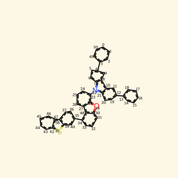 c1ccc(-c2ccc3c(c2)c2cc(-c4ccccc4)ccc2n3-c2cccc3c2oc2cccc(-c4ccc5c(c4)sc4ccccc45)c23)cc1